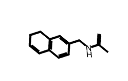 C=C(C)NCc1ccc2c(c1)CCC=C2